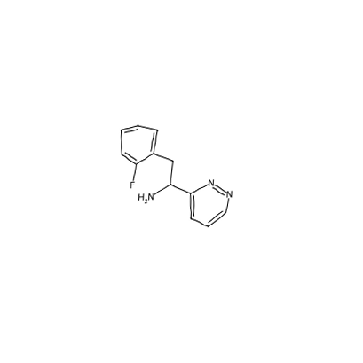 NC(Cc1ccccc1F)c1cccnn1